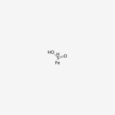 O=[SH]O.[Fe]